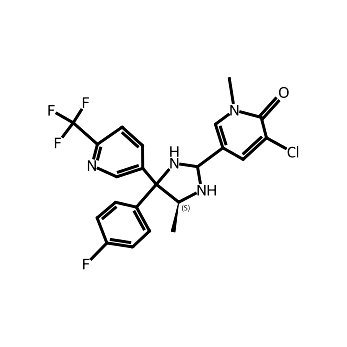 C[C@@H]1NC(c2cc(Cl)c(=O)n(C)c2)NC1(c1ccc(F)cc1)c1ccc(C(F)(F)F)nc1